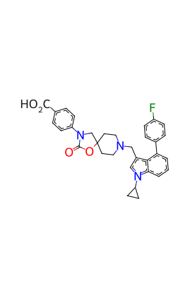 O=C(O)c1ccc(N2CC3(CCN(Cc4cn(C5CC5)c5cccc(-c6ccc(F)cc6)c45)CC3)OC2=O)cc1